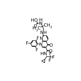 CC(C)(CNc1ccc2c(=O)c(C(=O)N[C@@H](C3CC3)C(F)(F)F)cn(-c3c(F)cc(F)cc3F)c2n1)NC(=O)O